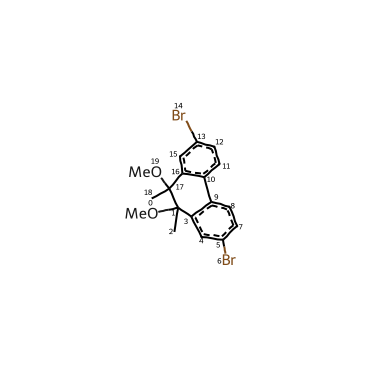 COC1(C)c2cc(Br)ccc2-c2ccc(Br)cc2C1(C)OC